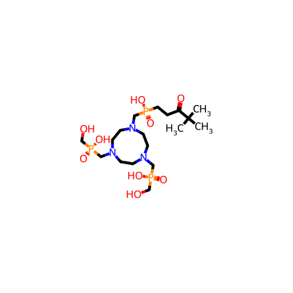 CC(C)(C)C(=O)CCP(=O)(O)CN1CCN(CP(=O)(O)CO)CCN(CP(=O)(O)CO)CC1